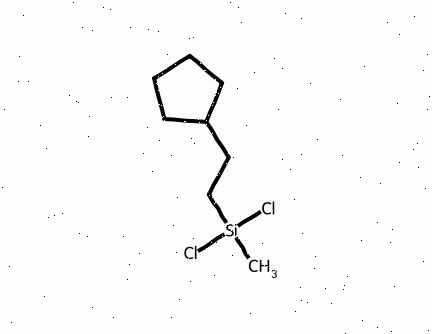 C[Si](Cl)(Cl)CCC1CCCC1